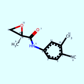 [C-]#[N+]c1ccc(NC(=O)[C@@]2(C)CO2)cc1C(F)(F)F